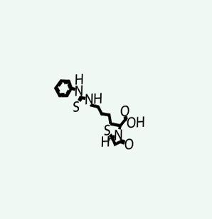 O=C(O)C1C(CCCCNC(=S)Nc2ccccc2)S[C@@H]2CC(=O)N12